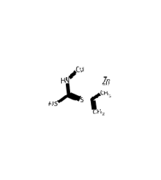 C=CC.S=C(S)[NH][Cu].[Zn]